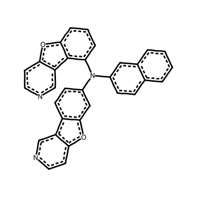 c1ccc2cc(N(c3ccc4c(c3)oc3ccncc34)c3cccc4oc5ccncc5c34)ccc2c1